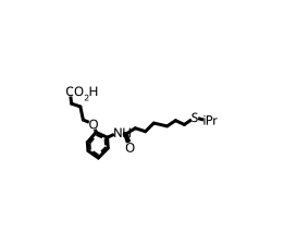 CC(C)SCCCCCCC(=O)Nc1ccccc1OCCCC(=O)O